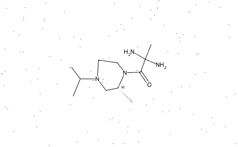 CC(C)N1CCN(C(=O)C(C)(N)N)[C@H](C)C1